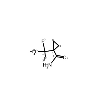 CC(F)(F)C1(C(N)=O)CC1